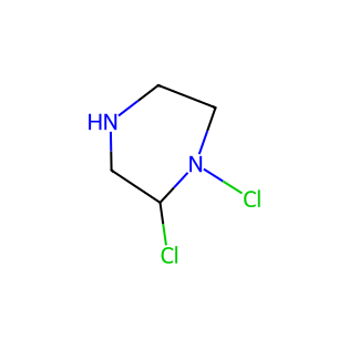 ClC1CNCCN1Cl